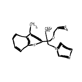 CSC(Cn1ccnc1)(OC=S)c1sc2c(c1C)CCC=C2